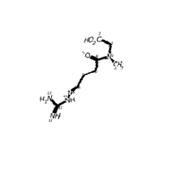 CN(CC(=O)O)C(=O)CCC=NNC(=N)N